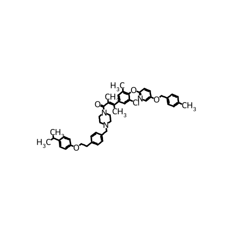 CC(C(=O)N1CCN(Cc2ccc(CCOc3ccc(C(C)C)cc3)cc2)CC1)=C(C)c1cc(C)c(Oc2ccc(OCc3ccc(C)cc3)cn2)c(Cl)c1